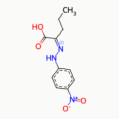 CCC/C(=N/Nc1ccc([N+](=O)[O-])cc1)C(=O)O